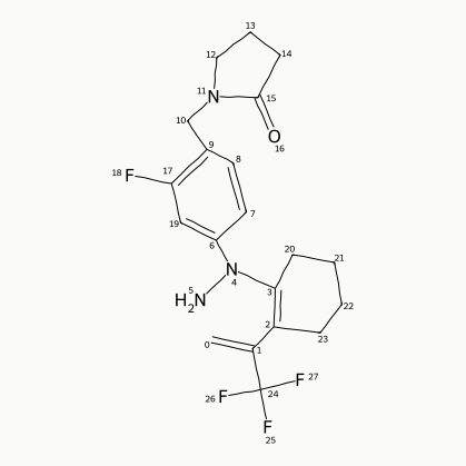 C=C(C1=C(N(N)c2ccc(CN3CCCC3=O)c(F)c2)CCCC1)C(F)(F)F